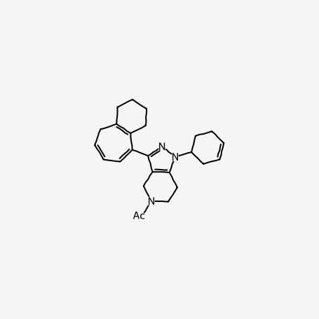 CC(=O)N1CCc2c(c(C3=CC=CCC4=C3CCCC4)nn2C2CC=CCC2)C1